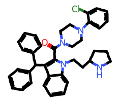 O=C(c1c(C(c2ccccc2)c2ccccc2)c2ccccc2n1CCC1CCCN1)N1CCN(c2ccccc2Cl)CC1